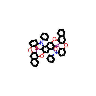 O=P12c3c4cccc3N(c3ccccc3)c3c1c(cc1c5c6c(cc31)Oc1c3c(cc7ccccc17)Oc1cccc(c1P36=O)N5c1ccccc1)Oc1c2c(cc2ccccc12)O4